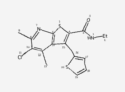 CCNC(=O)c1sc2nc(C)c(Cl)c(C)c2c1-c1cccs1